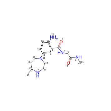 CC(C)NC(=O)CNC(=O)c1cc(N2CCNC(C)CC2)ccc1N